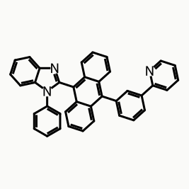 c1ccc(-n2c(-c3c4ccccc4c(-c4cccc(-c5ccccn5)c4)c4ccccc34)nc3ccccc32)cc1